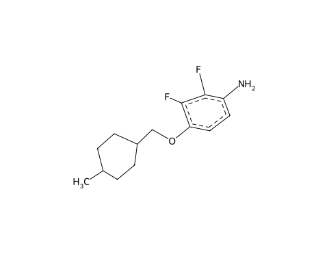 CC1CCC(COc2ccc(N)c(F)c2F)CC1